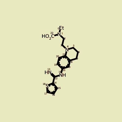 CCN(CCN1CCCc2cc(NC(=N)c3cccs3)ccc21)C(=O)O